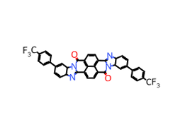 O=c1c2ccc3c4n(c(=O)c5ccc(c6n1C1C=C(c7ccc(C(F)(F)F)cc7)C=CC1N=6)c2c53)C1C=C(c2ccc(C(F)(F)F)cc2)C=CC1N=4